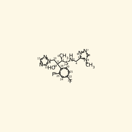 C[C@@H](SNCc1nncn1C)[C@](O)(Cn1cncn1)c1ccc(F)cc1F